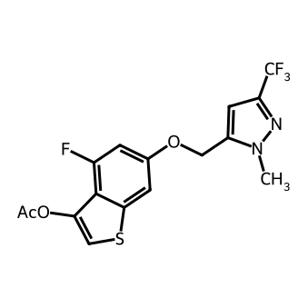 CC(=O)Oc1csc2cc(OCc3cc(C(F)(F)F)nn3C)cc(F)c12